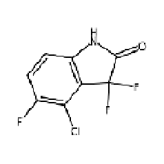 O=C1Nc2ccc(F)c(Cl)c2C1(F)F